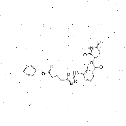 O=C1CCC(N2Cc3c(Nc4nnc(CCCC(=O)OCc5ccccc5)o4)cccc3C2=O)C(=O)N1